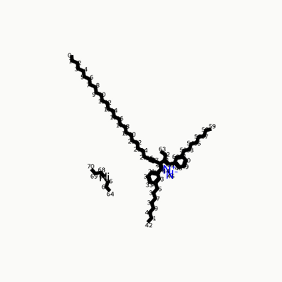 CCCCCCCCCCCCCCCCCCCCCCCCCCC#CC1=C(c2cccc(CCCCCCCC)c2)[N+](=[N-])C(c2cccc(CCCCCCCC)c2)=C1CC.CC[CH2][Ni][CH2]CC